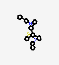 c1ccc(-c2ccc(-n3c4ccccc4c4cc(-c5cc6c7ccccc7n(-c7ccc8ccccc8c7)c6c6c5sc5ccccc56)ccc43)cc2)cc1